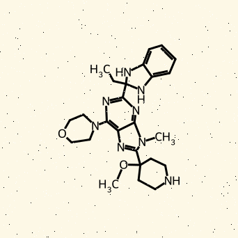 CCC1(c2nc(N3CCOCC3)c3nc(C4(OC)CCNCC4)n(C)c3n2)Nc2ccccc2N1